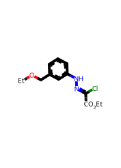 CCOCc1cccc(NN=C(Cl)C(=O)OCC)c1